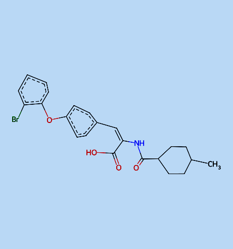 CC1CCC(C(=O)N/C(=C/c2ccc(Oc3ccccc3Br)cc2)C(=O)O)CC1